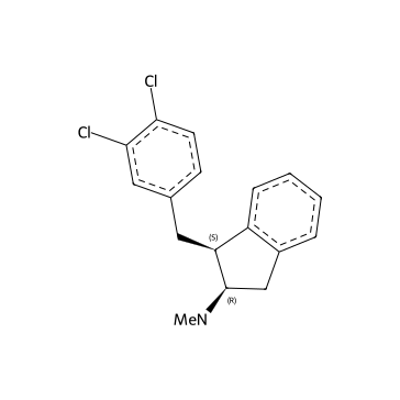 CN[C@@H]1Cc2ccccc2[C@@H]1Cc1ccc(Cl)c(Cl)c1